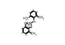 Cc1cccc(C)c1S[SiH2]Sc1c(C)cccc1C